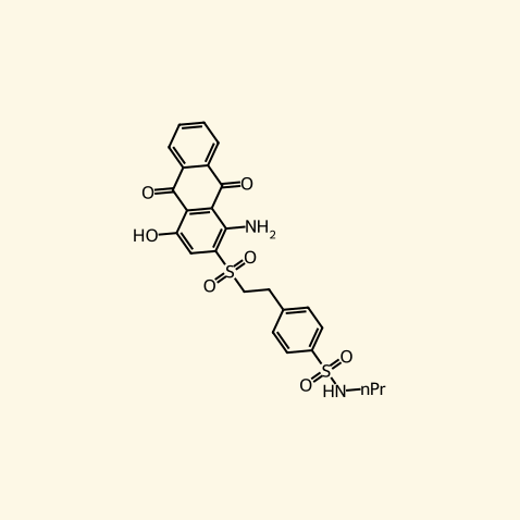 CCCNS(=O)(=O)c1ccc(CCS(=O)(=O)c2cc(O)c3c(c2N)C(=O)c2ccccc2C3=O)cc1